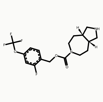 O=C(OCc1ccc(OC(F)(F)F)cc1F)N1CC[C@@H]2CNC[C@@H]2CC1